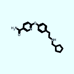 NC(=O)c1ccc(Oc2ccc(CCNCC3CCCC3)cc2)nc1